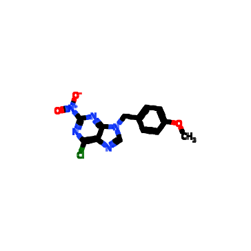 COc1ccc(Cn2cnc3c(Cl)nc([N+](=O)[O-])nc32)cc1